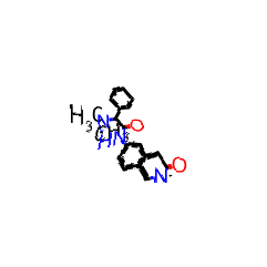 CN(C)C(C(=O)Nc1ccc2c(c1)=CC(=O)[N]C=2)c1ccccc1